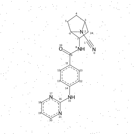 N#CN1C2CCC1C(NC(=O)c1ccc(Nc3ncccn3)cc1)C2